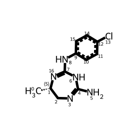 C[C@H]1CN=C(N)NC(Nc2ccc(Cl)cc2)=N1